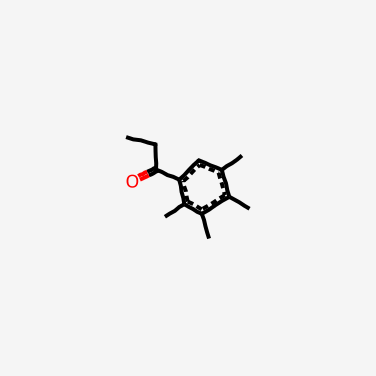 CCC(=O)c1cc(C)c(C)c(C)c1C